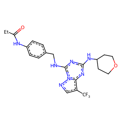 CCC(=O)Nc1ccc(CNc2nc(NC3CCOCC3)nc3c(C(F)(F)F)cnn23)cc1